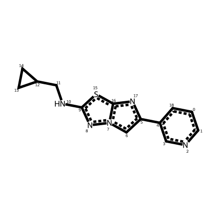 c1cncc(-c2cn3nc(NCC4CC4)sc3n2)c1